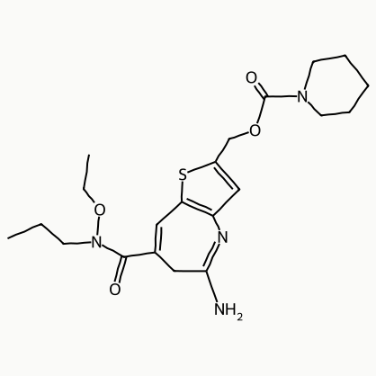 CCCN(OCC)C(=O)C1=Cc2sc(COC(=O)N3CCCCC3)cc2N=C(N)C1